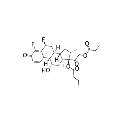 CCCC(=O)O[C@]1(C(=O)COC(=O)CC)[C@@H](C)C[C@H]2[C@@H]3C[C@H](F)C4=C(F)C(=O)C=C[C@]4(C)[C@H]3[C@@H](O)C[C@@]21C